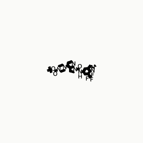 Cn1cc2cc(NC(=O)N3CCc4c(N5CCN(C(=O)OC(C)(C)C)CC5)ccnc43)cc(C(F)(F)F)c2n1